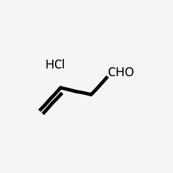 C=CCC=O.Cl